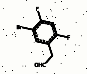 O=CCc1cc(Br)c(F)cc1F